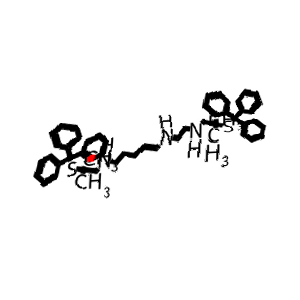 CC(C)(CNCCCCCNCCNCC(C)(C)SC(c1ccccc1)(c1ccccc1)c1ccccc1)SC(c1ccccc1)(c1ccccc1)c1ccccc1